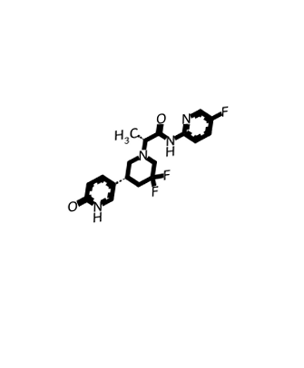 C[C@H](C(=O)Nc1ccc(F)cn1)N1C[C@@H](c2ccc(=O)[nH]c2)CC(F)(F)C1